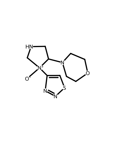 [O-][N+]1(c2csnn2)CNCC1N1CCOCC1